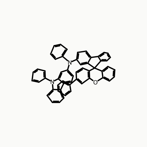 c1ccc(-c2ccc3c(c2)Oc2ccccc2C32c3ccccc3-c3ccc(N(c4ccccc4)c4ccc5c6ccccc6n(-c6ccccc6)c5c4)cc32)cc1